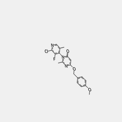 COc1ccc(COc2cc(=O)n(-c3c(C)cnc(Cl)c3F)c(C)n2)cc1